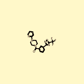 O=C(c1cccc(-c2noc(C(F)(F)F)n2)c1)N1CCN(c2ccccn2)CC1